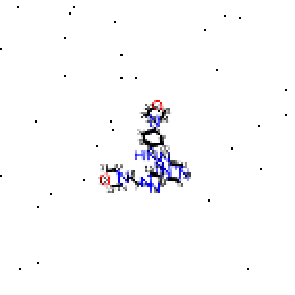 C1=C[N+]2(c3cnn(CCN4CCOCC4)c3)N=C(Nc3ccc(N4CCOCC4)cc3)N=C2C=N1